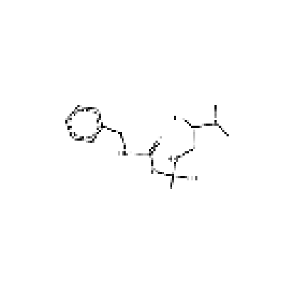 CN(C)C(O)CNC(C)(O)OC(=O)NCc1ccccc1